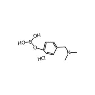 CN(C)Cc1ccc(OB(O)O)cc1.Cl